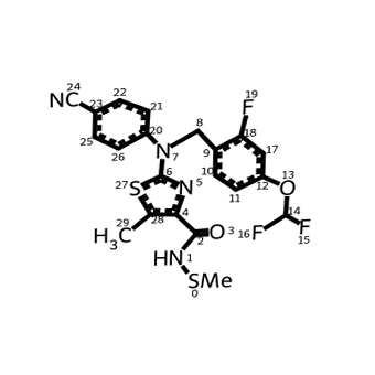 CSNC(=O)c1nc(N(Cc2ccc(OC(F)F)cc2F)c2ccc(C#N)cc2)sc1C